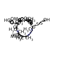 CO[C@@H]1C[C@H](C[C@@H](C)[C@@H]2CC(=O)[C@H](C)/C=C(\C)[C@@H](O)[C@@H](OC)C(=O)[C@H](C)C[C@H](C)/C=C/C=C/C=C(\C)C(OCCSCCSCCO)C[C@@H]3CC[C@@H](C)[C@@](O)(O3)C(=O)C(=O)N3CCCC[C@H]3C(=O)O2)CC[C@H]1O